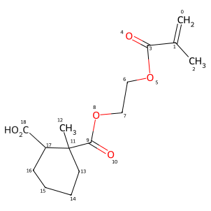 C=C(C)C(=O)OCCOC(=O)C1(C)CCCCC1C(=O)O